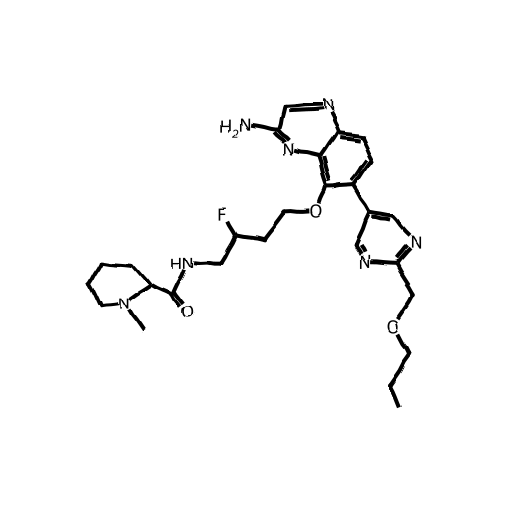 CCCOCc1ncc(-c2ccc3ncc(N)nc3c2OCCC(F)CNC(=O)C2CCCCN2C)cn1